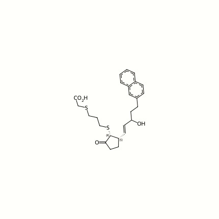 O=C(O)CSCCCS[C@H]1C(=O)CC[C@H]1C=CC(O)CCc1ccc2ccccc2c1